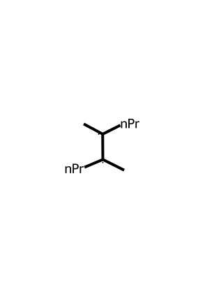 CCC[C](C)[C](C)CCC